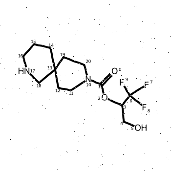 O=C(OC(CO)C(F)(F)F)N1CCC2(CCCNC2)CC1